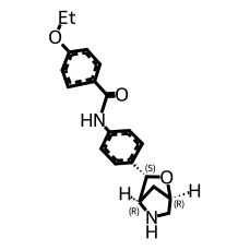 CCOc1ccc(C(=O)Nc2ccc([C@@H]3O[C@H]4CN[C@@H]3C4)cc2)cc1